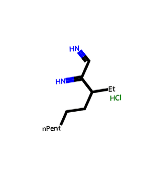 CCCCCCCC(CC)C(=N)C=N.Cl